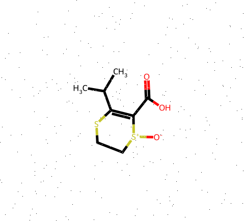 CC(C)C1=C(C(=O)O)[S+]([O-])CCS1